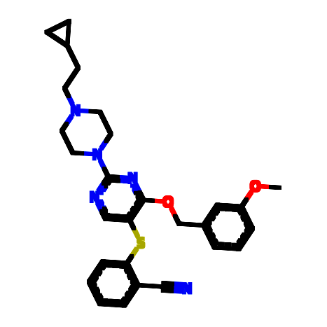 COc1cccc(COc2nc(N3CCN(CCC4CC4)CC3)ncc2Sc2ccccc2C#N)c1